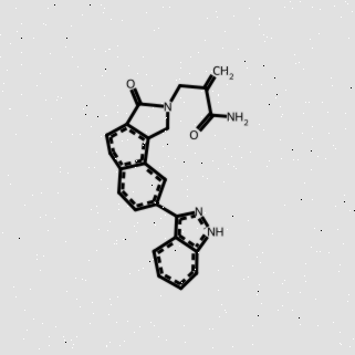 C=C(CN1Cc2c(ccc3ccc(-c4n[nH]c5ccccc45)cc23)C1=O)C(N)=O